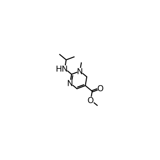 COC(=O)C1=CN=C(NC(C)C)N(C)C1